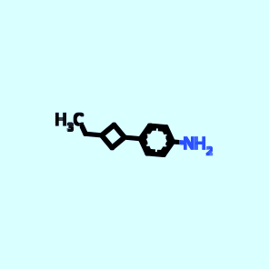 CCC1CC(c2ccc(N)cc2)C1